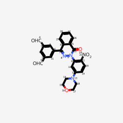 O=Cc1cc(C=O)cc(-c2nn(-c3cc(N4CCOCC4)ccc3[N+](=O)[O-])c(=O)c3ccccc23)c1